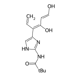 C=C/C(=C(O)\C=C\O)c1c[nH]c(NC(=O)C(C)(C)C)n1